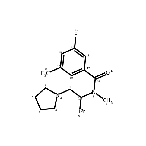 CC(C)C(CN1CCCC1)N(C)C(=O)c1cc(F)cc(C(F)(F)F)c1